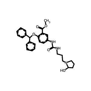 COC(=O)c1cc(NC(=O)NCCCN2CCCC2O)ccc1OC(c1ccccc1)c1ccccc1